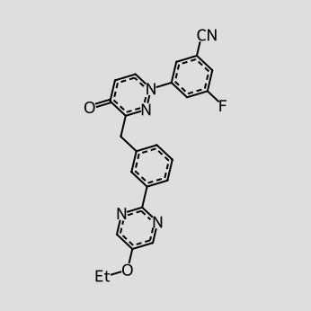 CCOc1cnc(-c2cccc(Cc3nn(-c4cc(F)cc(C#N)c4)ccc3=O)c2)nc1